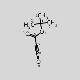 CC(C)(C)OC(=O)C#P=O